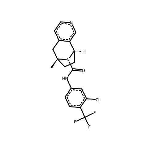 C[C@@]12CC[C@H](c3cnccc3C1)N2C(=O)Nc1ccc(C(F)(F)F)c(Cl)c1